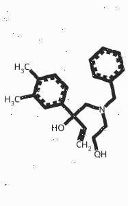 C=CC(O)(CN(CCO)Cc1ccccc1)c1ccc(C)c(C)c1